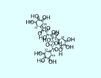 O=C(C(=O)C(O)C(O)(C(=O)c1cc(O)c(O)c(O)c1)C(O)C(O)C(O)C(=O)c1cc(O)c(O)c(O)c1)c1cc(O)c(O)c(O)c1